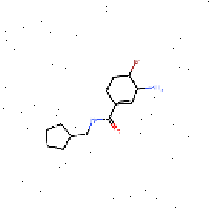 NC1C=C(C(=O)NCC2CCCC2)CCC1Br